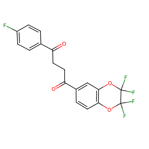 O=C(CCC(=O)c1ccc2c(c1)OC(F)(F)C(F)(F)O2)c1ccc(F)cc1